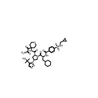 CC(C)(O)c1cnnn1[C@H]1C[C@@H](C(=O)NC2(C(=O)C(N)=O)CCOCC2)N(C(=O)C(CC2CCCCC2)NC(=O)c2ccc(S(=O)(=O)NCC3CC3)cc2)C1